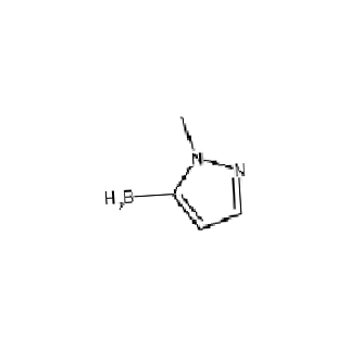 Bc1ccnn1C